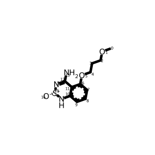 COCCCOc1cccc2c1C(N)=N[S+]([O-])N2